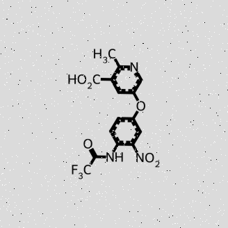 Cc1ncc(Oc2ccc(NC(=O)C(F)(F)F)c([N+](=O)[O-])c2)cc1C(=O)O